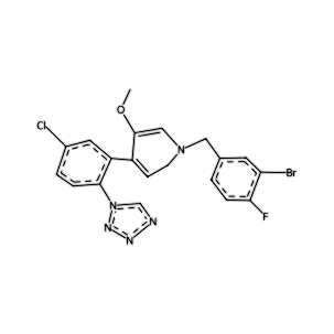 COC1=CN(Cc2ccc(F)c(Br)c2)CC=C1c1cc(Cl)ccc1-n1cnnn1